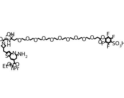 CCCN(OCC)C(=O)C1=Cc2sc(CC3CN(C(=O)[C@H](CO)NC(=O)CCOCCOCCOCCOCCOCCOCCOCCOCCOCCOCCC(=O)Oc4c(F)c(F)c(S(=O)(=O)O)c(F)c4F)C3)cc2N=C(N)C1